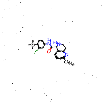 COc1ccc2c(n1)CCN[C@H]2C(=O)Nc1ccc([Si](C)(C)C)c(F)c1